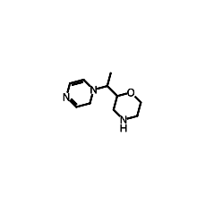 CC(C1CNCCO1)N1C=CN=CC1